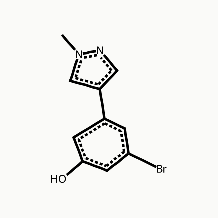 Cn1cc(-c2cc(O)cc(Br)c2)cn1